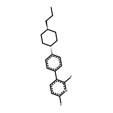 CCC[C@H]1CC[C@H](c2ccc(-c3ccc(F)nc3F)cc2)CC1